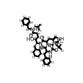 CC(C)C[C@H](C[C@H](O)[C@H](CC1CCCCC1)NC(=O)C(Cc1c[nH]cn1)NC(=O)C(Cc1ccccc1)NC(=O)OC(C)(C)C)C(=O)NCc1ccccc1